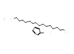 CCCCCCCCCCCCCCCCBr.Cc1ccccc1